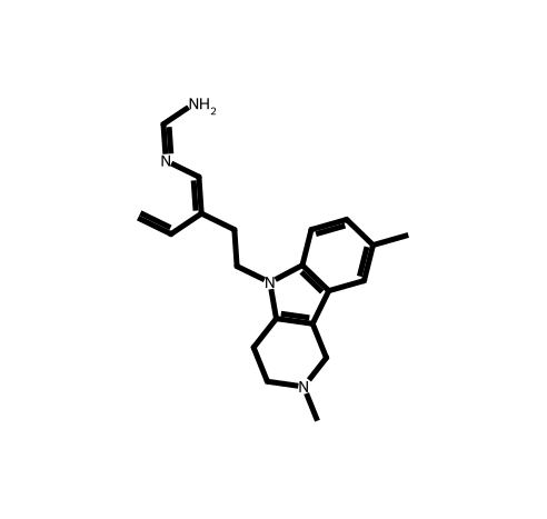 C=C/C(=C\N=C/N)CCn1c2c(c3cc(C)ccc31)CN(C)CC2